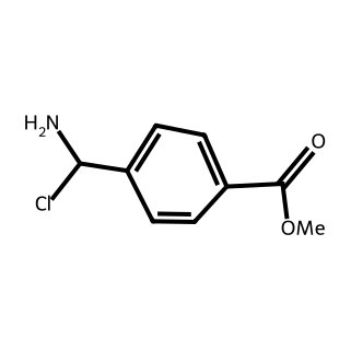 COC(=O)c1ccc(C(N)Cl)cc1